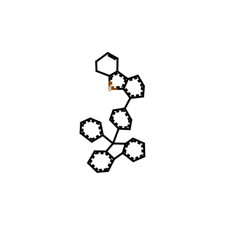 C1=Cc2c(sc3c(-c4ccc(C5(c6ccccc6)c6ccccc6-c6ccccc65)cc4)cccc23)CC1